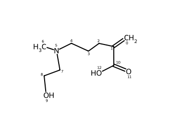 C=C(CCCN(C)CCO)C(=O)O